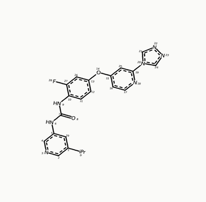 CC(C)c1cncc(NC(=O)Nc2ccc(Oc3ccnc(-n4cnnc4)c3)cc2F)c1